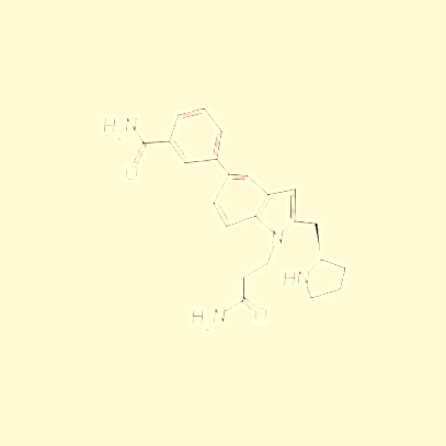 NC(=O)CCn1c(C[C@H]2CCCN2)cc2cc(-c3cccc(C(N)=O)c3)ccc21